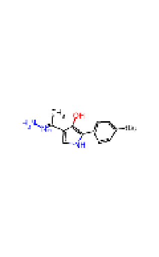 C/C(=N\N)c1c[nH]c(-c2ccc(C(C)(C)C)cc2)c1O